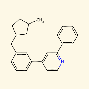 CC1CCC(Cc2cccc(-c3ccnc(-c4ccccc4)c3)c2)C1